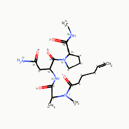 C=CCCCC(=O)N(C)C(C)C(=O)NC(CC(N)=O)C(=O)N1CCCC1C(=O)NC